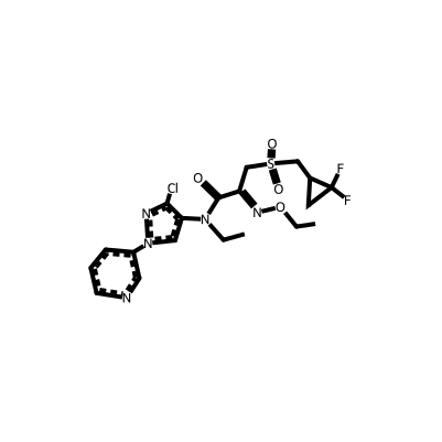 CCON=C(CS(=O)(=O)CC1CC1(F)F)C(=O)N(CC)c1cn(-c2cccnc2)nc1Cl